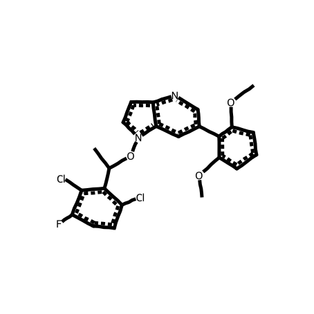 COc1cccc(OC)c1-c1cnc2ccn(OC(C)c3c(Cl)ccc(F)c3Cl)c2c1